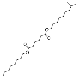 CCCCCCCCOC(=O)CCCCC(=O)OCCCCCCCC(C)C